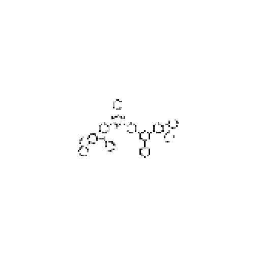 c1ccc(C2=NC(c3ccc4c5cc6ccc7ccccc7c6cc5n(-c5ccccc5)c4c3)=NC(c3ccc(-c4cc(-c5ccccc5)cc(-c5ccc6c(c5)C5(CCCCC5)c5ccccc5-6)c4)cc3)N2)cc1